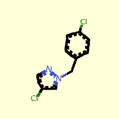 Clc1ccc(Cn2cc(Cl)cn2)cc1